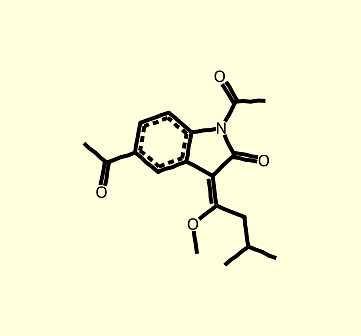 COC(CC(C)C)=C1C(=O)N(C(C)=O)c2ccc(C(C)=O)cc21